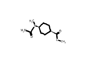 COC(=O)[C@H]1CC[C@@H](N(C)C(N)=O)CC1